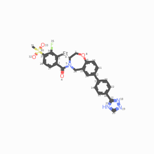 CCc1c(C(=O)N2CCOc3ccc(-c4ccc(-c5nnc[nH]5)cc4)cc3C2)ccc(S(C)(=O)=O)c1F